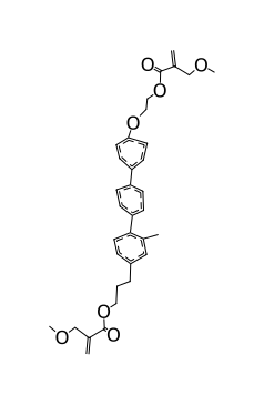 C=C(COC)C(=O)OCCCc1ccc(-c2ccc(-c3ccc(OCCOC(=O)C(=C)COC)cc3)cc2)c(C)c1